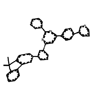 CC1(C)c2ccccc2-c2cc(-c3cccc(-c4cc(-c5ccc(-c6cccnc6)cc5)nc(-c5ccccc5)n4)c3)ccc21